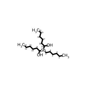 CCCCC[CH2][Sb]([CH](O)CCCCC)[CH](O)CCCCC